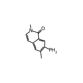 Cc1cc2ccn(C)c(=O)c2cc1P